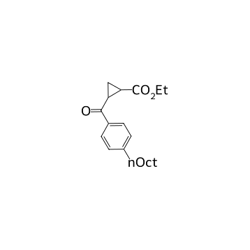 CCCCCCCCc1ccc(C(=O)C2CC2C(=O)OCC)cc1